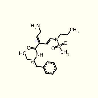 CCCN(C=C/C(=C\CN)C(=O)N[C@H](CO)Cc1ccccc1)S(C)(=O)=O